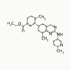 CCOC(=O)c1ccc(C)c(-c2cc(C)c3nc(Nc4ccc(C)nc4)ncc3c2)c1